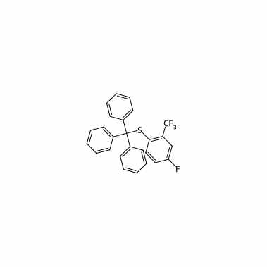 Fc1ccc(SC(c2ccccc2)(c2ccccc2)c2ccccc2)c(C(F)(F)F)c1